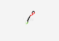 C[Si](C)(C#CCOC1CCCCO1)CCC(F)(F)F